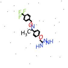 C/C(=N\OCc1ccc(C(F)(F)F)cc1)c1ccc(OCC(=N)N=N)cc1